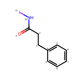 O=C(CCc1ccccc1)NI